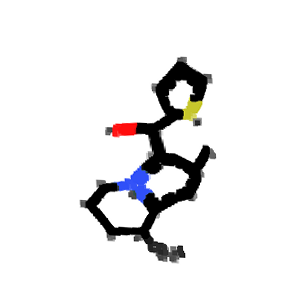 Cc1cc2n(c1C(=O)c1cccs1)CCCC2C(=O)O